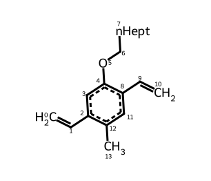 C=Cc1cc(OCCCCCCCC)c(C=C)cc1C